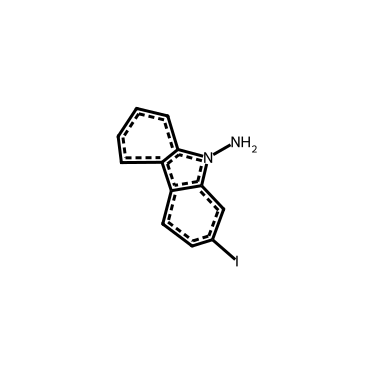 Nn1c2ccccc2c2ccc(I)cc21